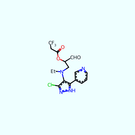 CCN(CC(C=O)OC(=O)CC(F)(F)F)c1c(Cl)n[nH]c1-c1cccnc1